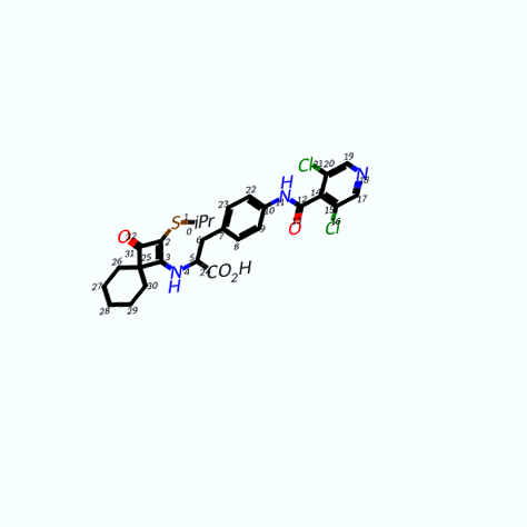 CC(C)SC1=C(NC(Cc2ccc(NC(=O)c3c(Cl)cncc3Cl)cc2)C(=O)O)C2(CCCCC2)C1=O